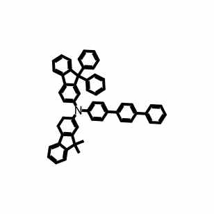 CC1(C)C2=C(CCC(N(c3ccc(-c4ccc(-c5ccccc5)cc4)cc3)c3ccc4c(c3)C(c3ccccc3)(c3ccccc3)c3ccccc3-4)=C2)c2ccccc21